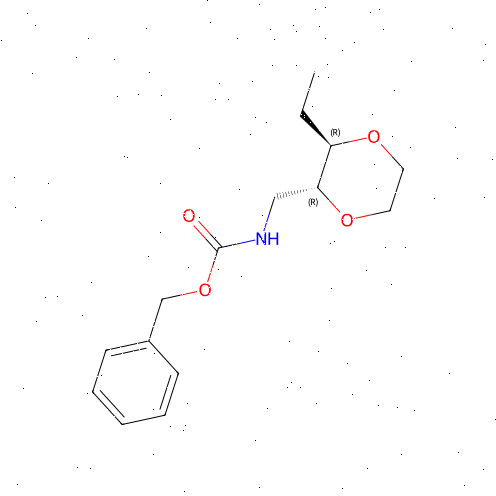 CC[C@H]1OCCO[C@@H]1CNC(=O)OCc1ccccc1